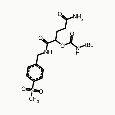 CC(C)(C)NC(=O)OC(CCC(N)=O)C(=O)NCc1ccc(S(C)(=O)=O)cc1